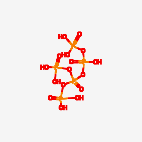 O=P(O)(O)OP(=O)(O)OP(=O)(OP(=O)(O)O)OP(=O)(O)O